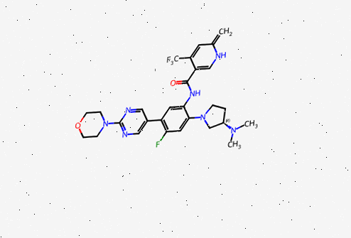 C=C1C=C(C(F)(F)F)C(C(=O)Nc2cc(-c3cnc(N4CCOCC4)nc3)c(F)cc2N2CC[C@@H](N(C)C)C2)=CN1